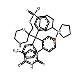 Cc1cn(-c2ccccc2C(c2ccccc2)(c2ccccc2)C2(COP(=O)(Cl)N3CCC([N+]4(C)CCCC4)CC3)CNCCO2)c(=O)[nH]c1=O